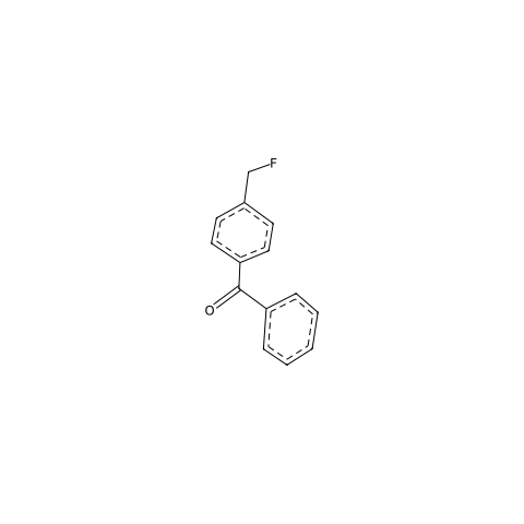 O=C(c1ccccc1)c1ccc(CF)cc1